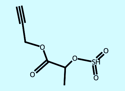 C#CCOC(=O)C(C)O[SH](=O)=O